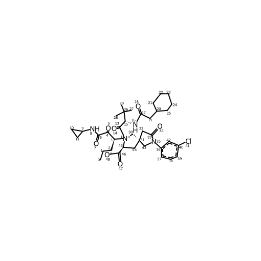 CCC[C@@H](C(=O)C(=O)NC1CC1)[N+]1(C(=O)[C@@H](NC(=O)CC2CCCCC2)C(C)(C)C)C[C@@]2(CC(=O)N(c3cccc(Cl)c3)C2)C[C@H]1C(=O)[O-]